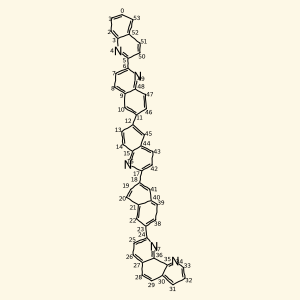 c1ccc2nc(-c3ccc4cc(-c5ccc6nc(-c7ccc8cc(-c9ccc%10ccc%11cccnc%11c%10n9)ccc8c7)ccc6c5)ccc4n3)ccc2c1